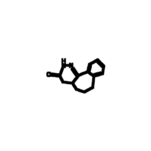 O=C1CC2CCCc3ccccc3C2=NN1